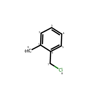 [CH]c1ccccc1CCl